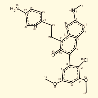 CNc1ncc2cc(-c3cc(OC)cc(OC)c3Cl)c(=O)n(CCc3ccc(N)cn3)c2n1